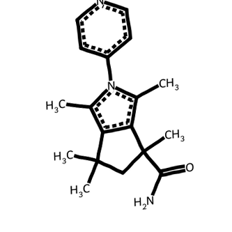 Cc1c2c(c(C)n1-c1ccncc1)C(C)(C(N)=O)CC2(C)C